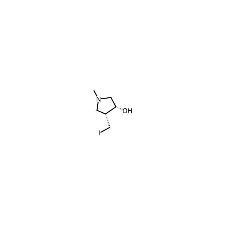 CN1C[C@@H](CI)[C@@H](O)C1